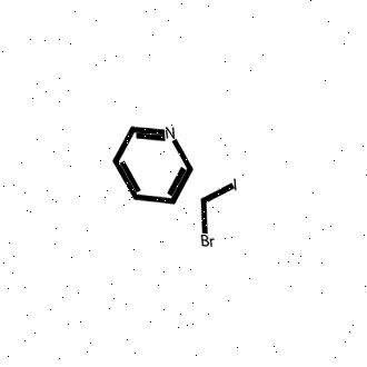 BrCI.c1ccncc1